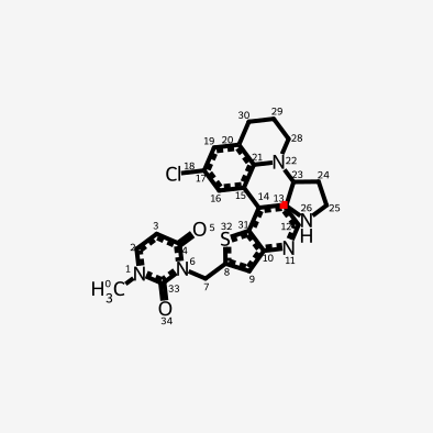 Cn1ccc(=O)n(Cc2cc3nccc(-c4cc(Cl)cc5c4N(C4CCNC4)CCC5)c3s2)c1=O